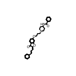 O=C(NC1CCN(CCCOc2ccc3c(c2)OC(=CC=Cc2ccccc2)C3=O)CC1)c1ccccc1